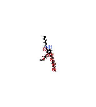 CCCCCCCNC(=O)c1ccc(OCCOCCOCCOC)c(OCCOCC)c1